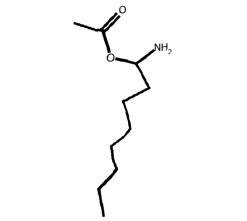 CCCCCCCC(N)OC(C)=O